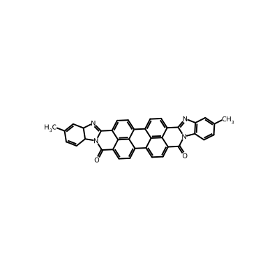 CC1=CC2N=c3c4ccc5c6ccc7c8c(ccc(c9ccc(c(=O)n3C2C=C1)c4c95)c68)c(=O)n1c2ccc(C)cc2nc71